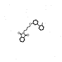 Cc1ccccc1-c1cccc(OCCCCN2C(=O)c3ccccc3C2=O)c1